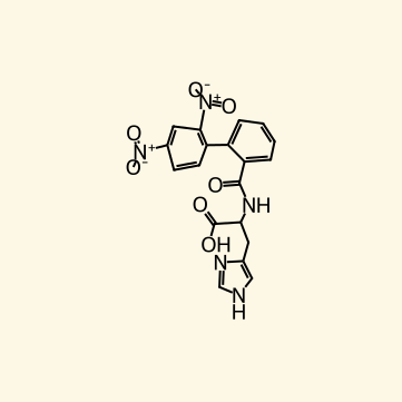 O=C(NC(Cc1c[nH]cn1)C(=O)O)c1ccccc1-c1ccc([N+](=O)[O-])cc1[N+](=O)[O-]